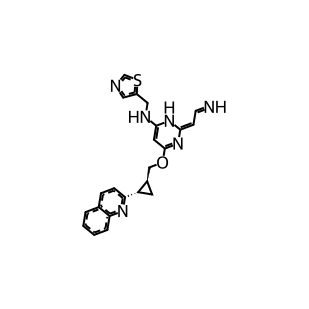 N=C/C=C1/N=C(OC[C@H]2C[C@@H]2c2ccc3ccccc3n2)C=C(NCc2cncs2)N1